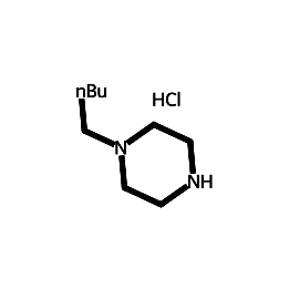 CCCCCN1CCNCC1.Cl